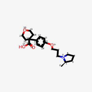 C[C@@H]1CCCN1CCCOc1ccc(C2(C(=O)O)CCOCC2)cc1